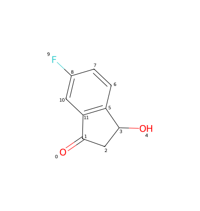 O=C1CC(O)c2ccc(F)cc21